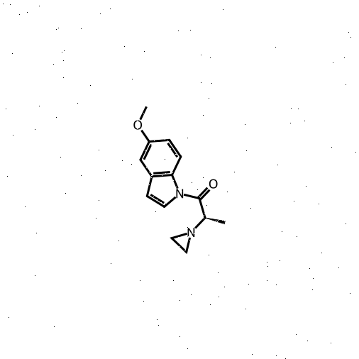 COc1ccc2c(ccn2C(=O)[C@@H](C)N2CC2)c1